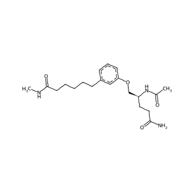 CNC(=O)CCCCCc1cccc(OC[C@H](CCC(N)=O)NC(C)=O)c1